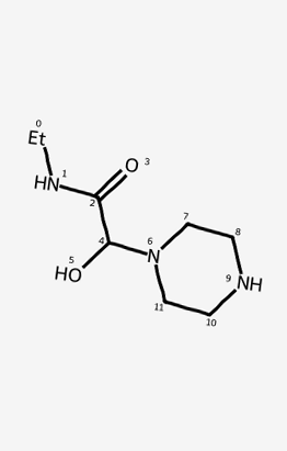 CCNC(=O)C(O)N1CCNCC1